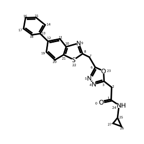 O=C(Cc1nnc(Cc2nc3cc(-c4ccccc4)ccc3s2)o1)NC1CC1